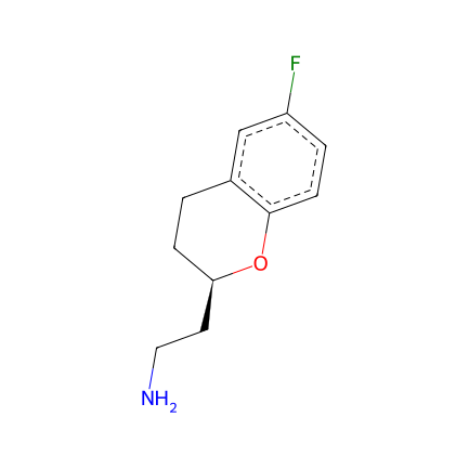 NCC[C@H]1CCc2cc(F)ccc2O1